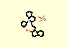 Oc1ccc2ccccc2c1/C=C/c1ccc2ccccc2[n+]1-c1ccccc1.[O-][Cl+3]([O-])([O-])[O-]